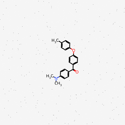 Cc1ccc(Oc2ccc(C(=O)c3ccc(N(C)C)cc3)cc2)cc1